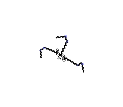 CCCCC/C=C\C/C=C\CCCCCCCCC(COC(=O)CCCCCCC/C=C\C/C=C\CCCCC)(COC(=O)CCCCCCC/C=C\C/C=C\CCCCC)CN(C)C